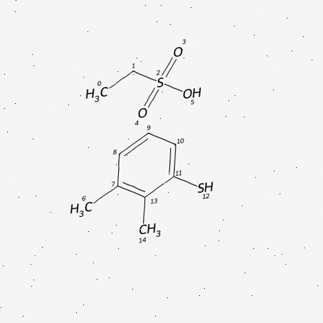 CCS(=O)(=O)O.Cc1cccc(S)c1C